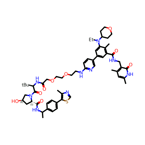 CCN(c1cc(-c2ccc(NCCOCCOCC(=O)NC(C(=O)N3C[C@H](O)C[C@H]3C(=O)NC(C)c3ccc(-c4scnc4C)cc3)C(C)(C)C)nc2)cc(C(=O)NCc2c(C)cc(C)[nH]c2=O)c1C)C1CCOCC1